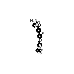 NC(=O)[C@@H]1CCCN1C(=O)c1ccc(-c2ccc(OCC3CCN(CC4(C(F)(F)F)CCC4)CC3)cc2F)cc1